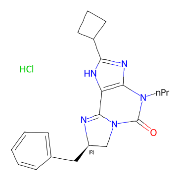 CCCN1C(=O)N2C[C@@H](Cc3ccccc3)N=C2c2[nH]c(C3CCC3)nc21.Cl